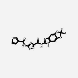 O=C(Nc1nc(C(=O)Nc2nc3cc4c(cc3[nH]2)OC(F)(F)O4)ns1)c1ccsc1